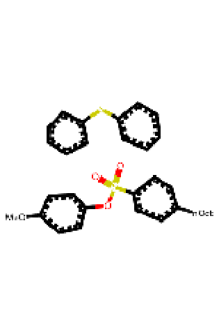 CCCCCCCCc1ccc(S(=O)(=O)Oc2ccc(OC)cc2)cc1.c1ccc(Sc2ccccc2)cc1